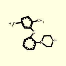 Cc1ccc(C)c(Sc2ccccc2N2CCNCC2)c1